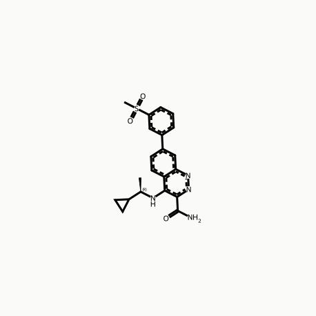 C[C@@H](Nc1c(C(N)=O)nnc2cc(-c3cccc(S(C)(=O)=O)c3)ccc12)C1CC1